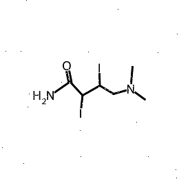 CN(C)CC(I)C(I)C(N)=O